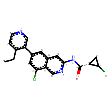 CCc1ccncc1-c1cc(Cl)c2cnc(NC(=O)[C@@H]3CC3F)cc2c1